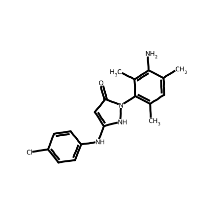 Cc1cc(C)c(-n2[nH]c(Nc3ccc(Cl)cc3)cc2=O)c(C)c1N